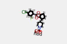 CCCCOC(=O)N1CCC(c2cccc3c2O[C@@H](c2ccc(Cl)cc2F)O3)CC1